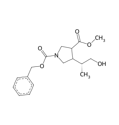 COC(=O)C1CN(C(=O)OCc2ccccc2)CC1[C@@H](C)CO